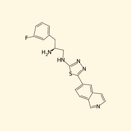 N[C@H](CNc1nnc(-c2ccc3cnccc3c2)s1)Cc1cccc(F)c1